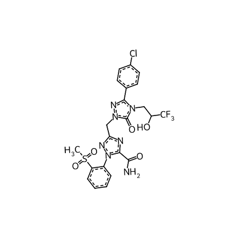 CS(=O)(=O)c1ccccc1-n1nc(Cn2nc(-c3ccc(Cl)cc3)n(CC(O)C(F)(F)F)c2=O)nc1C(N)=O